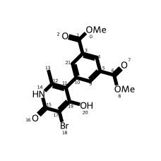 COC(=O)c1cc(C(=O)OC)cc(-c2c(C)[nH]c(=O)c(Br)c2O)c1